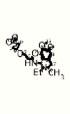 CCN(CNC(=O)CCOC1CS(=O)(=O)C1)C(C)Cc1ccc2c(c1)OCO2